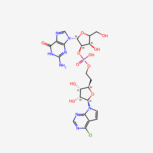 Nc1nc2c(ncn2[C@@H]2OC(CO)[C@@H](O)[C@H]2OP(=O)(O)OCC[C@H]2O[C@@H](n3ccc4c(Cl)ncnc43)[C@H](O)[C@@H]2O)c(=O)[nH]1